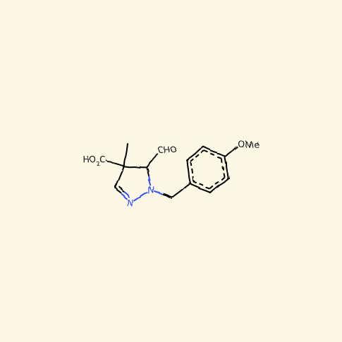 COc1ccc(CN2N=CC(C)(C(=O)O)C2C=O)cc1